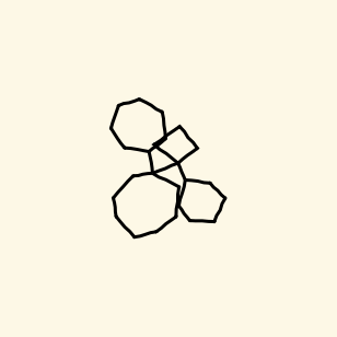 C1CCCC(C2CCCCCC2)(C2(C3CCCCC3)CCC2)CCC1